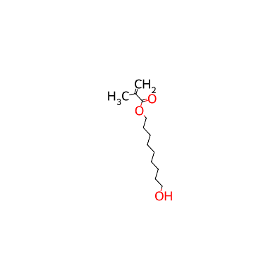 C=C(C)C(=O)OCCCCCCCCCO